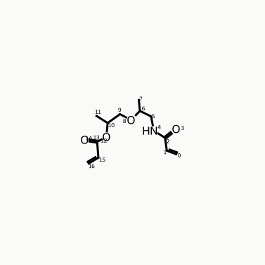 C=CC(=O)NCC(C)OCC(C)OC(=O)C=C